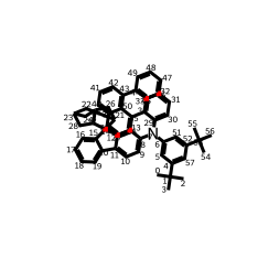 CC(C)(C)c1cc(N(c2ccc3c(c2)C2(c4ccccc4-3)C3CC4CC(C3)C2C4)c2ccccc2-c2cccc3cccc(-c4ccccc4)c23)cc(C(C)(C)C)c1